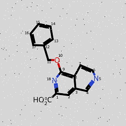 O=C(O)c1cc2cnccc2c(OCc2ccccc2)n1